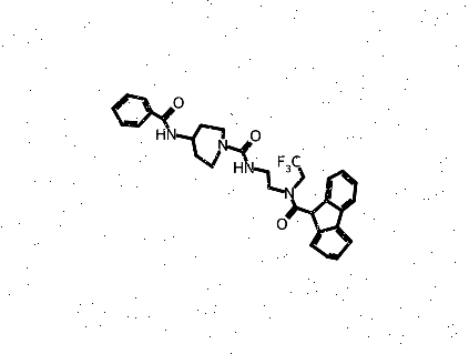 O=C(NC1CCN(C(=O)NCCN(CC(F)(F)F)C(=O)C2c3ccccc3-c3ccccc32)CC1)c1ccccc1